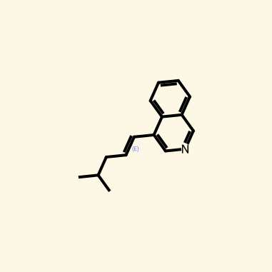 CC(C)C/C=C/c1cncc2ccccc12